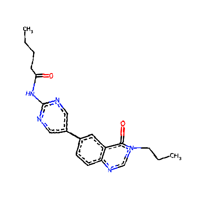 CCCCC(=O)Nc1ncc(-c2ccc3ncn(CCC)c(=O)c3c2)cn1